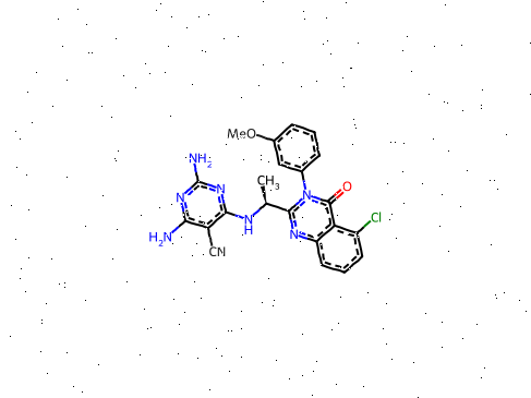 COc1cccc(-n2c([C@H](C)Nc3nc(N)nc(N)c3C#N)nc3cccc(Cl)c3c2=O)c1